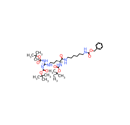 CC(C)(C)OC(=O)/N=C(\NCCC[C@H](NC(=O)OC(C)(C)C)C(=O)NCCCCCCNC(=O)OCc1ccccc1)NC(=O)OC(C)(C)C